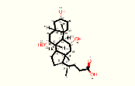 C[C@H](CCC(=O)O)[C@H]1CC[C@H]2[C@H]3[C@H]([C@H](O)C[C@]12C)[C@@]1(C)CC[C@@H](O)C[C@H]1C[C@H]3O